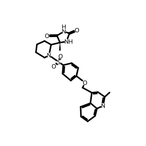 Cc1cc(COc2ccc(S(=O)(=O)N3CCCCC3[C@@]3(C)NC(=O)NC3=O)cc2)c2ccccc2n1